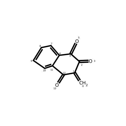 C=C1C(=O)C(=O)c2ccccc2C1=O